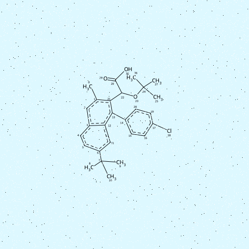 Cc1cc2ccc(C(C)(C)C)cc2c(-c2ccc(Cl)cc2)c1C(OC(C)(C)C)C(=O)O